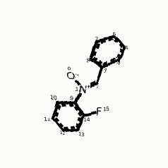 [O-][N+](=Cc1ccccc1)c1ccccc1F